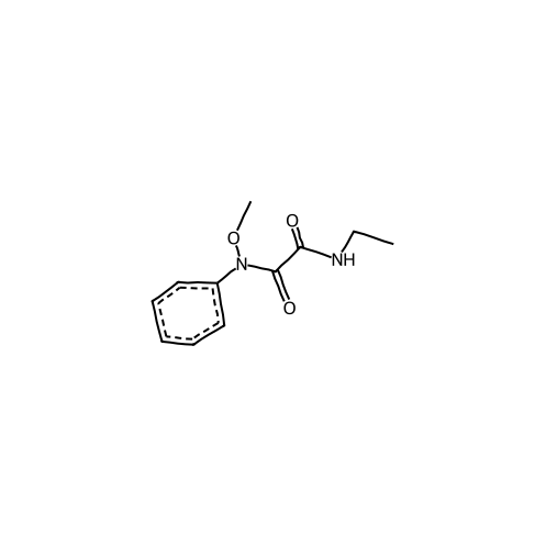 CCNC(=O)C(=O)N(OC)c1ccccc1